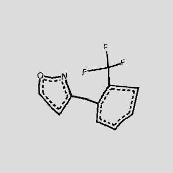 FC(F)(F)c1ccccc1-c1ccon1